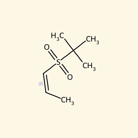 C/C=C\S(=O)(=O)C(C)(C)C